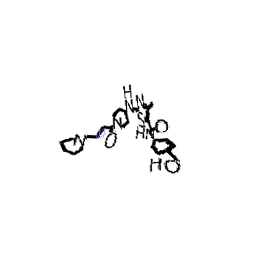 Cc1nc(NC2CCN(C(=O)/C=C/CN3CCCCC3)CC2)sc1C(=O)Nc1ccc(CO)cc1